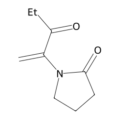 C=C(C(=O)CC)N1CCCC1=O